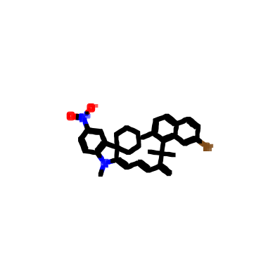 C=C(/C=C/C=C1/N(C)c2ccc([N+](=O)[O-])cc2C12CCCCC2)C(C)(C)c1c(C)ccc2ccc(Br)cc12